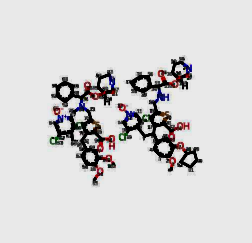 COc1ccc(C(Cc2c(Cl)c[n+]([O-])cc2Cl)c2cc(CNC(C(=O)O[C@H]3CN4CCC3CC4)c3ccccc3)sc2C(=O)O)cc1OC1CCCC1.COc1ccc([C@H](Cc2c(Cl)c[n+]([O-])cc2Cl)c2cc(CN(C)C(C(=O)O[C@H]3CN4CCC3CC4)c3ccccc3)sc2C(=O)O)cc1OC